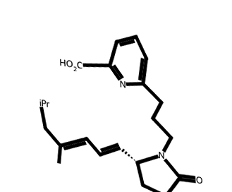 C/C(=C\C=C\[C@H]1CCC(=O)N1CCCc1cccc(C(=O)O)n1)CC(C)C